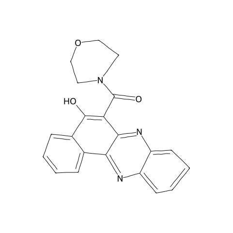 O=C(c1c(O)c2ccccc2c2nc3ccccc3nc12)N1CCOCC1